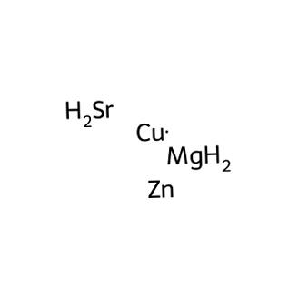 [Cu].[MgH2].[SrH2].[Zn]